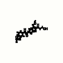 COCn1c(NCCO)nc2sc(C(=O)Nc3ccc4oc(C)nc4c3)cc21